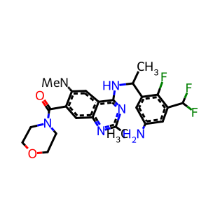 CNc1cc2c(NC(C)c3cc(N)cc(C(F)F)c3F)nc(C)nc2cc1C(=O)N1CCOCC1